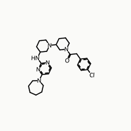 O=C(Cc1ccc(Cl)cc1)N1CCCC(N2CCCC(Nc3nccc(N4CCCCCC4)n3)C2)C1